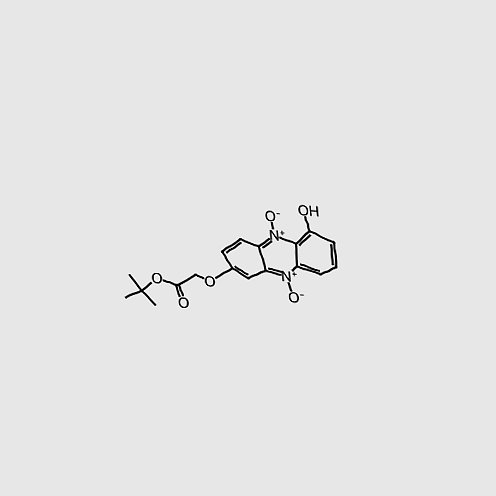 CC(C)(C)OC(=O)COc1ccc2c(c1)[n+]([O-])c1cccc(O)c1[n+]2[O-]